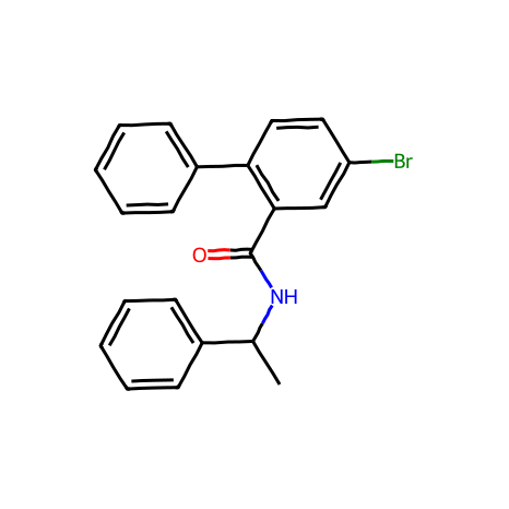 CC(NC(=O)c1cc(Br)ccc1-c1ccccc1)c1ccccc1